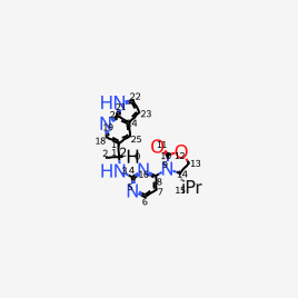 [2H]C(C)(Nc1nccc(N2C(=O)OC[C@@H]2C(C)C)n1)c1cnc2[nH]ccc2c1